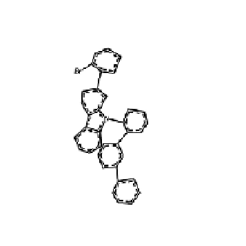 Brc1ccccc1-c1ccc2c3ccccc3n(-c3ccccc3-c3cccc(-c4ccccc4)c3)c2c1